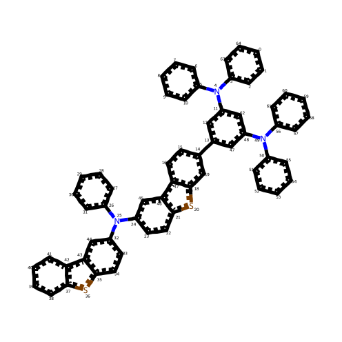 c1ccc(N(c2ccccc2)c2cc(-c3ccc4c(c3)sc3ccc(N(c5ccccc5)c5ccc6sc7ccccc7c6c5)cc34)cc(N(c3ccccc3)c3ccccc3)c2)cc1